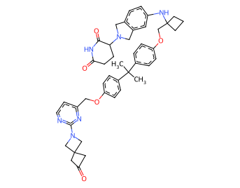 CC(C)(c1ccc(OCc2ccnc(N3CC4(CC(=O)C4)C3)n2)cc1)c1ccc(OCC2(Nc3ccc4c(c3)CN(C3CCC(=O)NC3=O)C4)CCC2)cc1